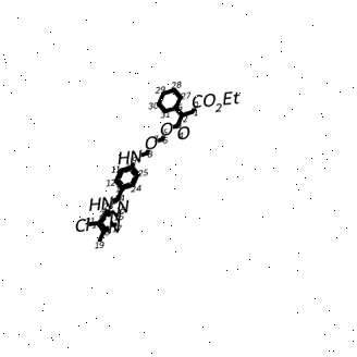 CCOC(=O)CC(C(=O)OCOCNc1ccc(-c2nn3nc(C)c(Cl)c3[nH]2)cc1)C1CCCCC1